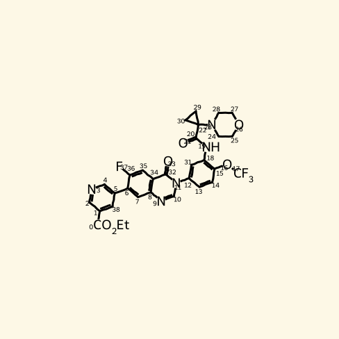 CCOC(=O)c1cncc(-c2cc3ncn(-c4ccc(OC(F)(F)F)c(NC(=O)C5(N6CCOCC6)CC5)c4)c(=O)c3cc2F)c1